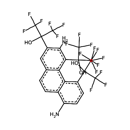 Nc1c(C(O)(C(F)(F)F)C(F)(F)F)cc2ccc3c(N)ccc(C(O)(C(F)(F)F)C(F)(F)F)c3c2c1C(O)(C(F)(F)F)C(F)(F)F